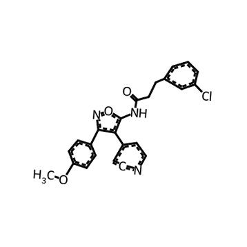 COc1ccc(-c2noc(NC(=O)CCc3cccc(Cl)c3)c2-c2ccncc2)cc1